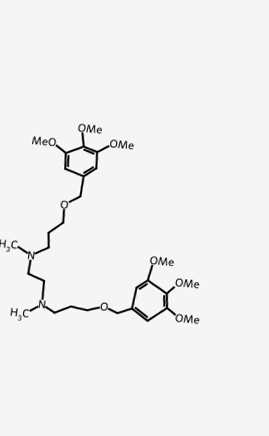 COc1cc(COCCCN(C)CCN(C)CCCOCc2cc(OC)c(OC)c(OC)c2)cc(OC)c1OC